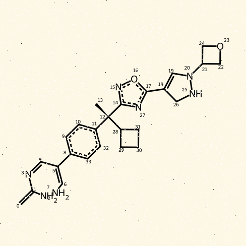 C=C(N)/N=C\C(=C/N)c1ccc([C@](C)(c2noc(C3=CN(C4COC4)NC3)n2)C2CCC2)cc1